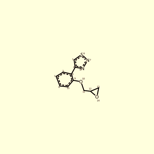 c1ccc(-c2csnn2)c(OCC2CO2)c1